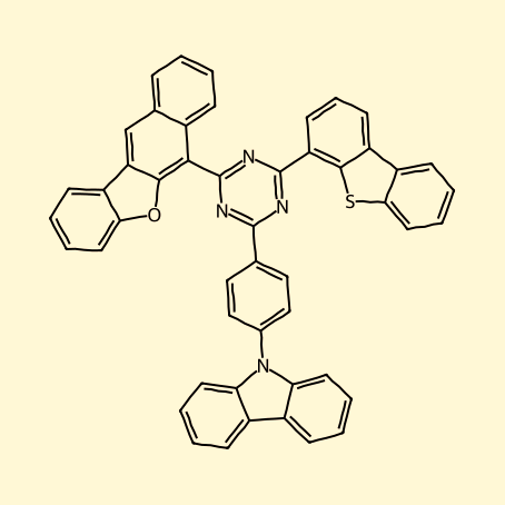 c1ccc2c(-c3nc(-c4ccc(-n5c6ccccc6c6ccccc65)cc4)nc(-c4cccc5c4sc4ccccc45)n3)c3oc4ccccc4c3cc2c1